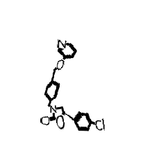 O=C1O[C@H](c2ccc(Cl)cc2)CN1Cc1ccc(COc2cccnc2)cc1